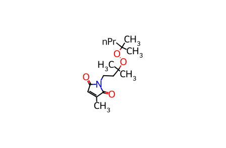 CCCC(C)(C)OOC(C)(C)CCN1C(=O)C=C(C)C1=O